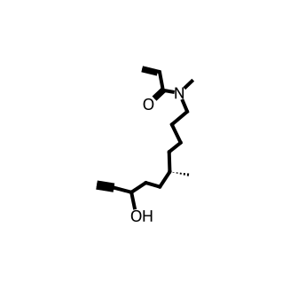 C#CC(O)CC[C@@H](C)CCCCN(C)C(=O)C=C